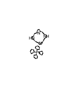 C1=Cc2cc3ccc(cc4nc(cc5ccc(cc1n2)[nH]5)C=C4)[nH]3.c1cc[c]([Pt]([c]2ccccc2)([c]2ccccc2)[c]2ccccc2)cc1